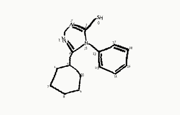 Sc1nnc(C2CCCCC2)n1-c1ccccc1